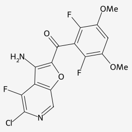 COc1cc(OC)c(F)c(C(=O)c2oc3cnc(Cl)c(F)c3c2N)c1F